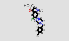 CCn1cc(C(=O)O)c(=O)c2cc(F)c(N3CCN(Cc4ccc(C)cc4)CC3)cc21